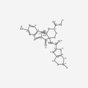 COC(=O)C1CCC(NC(=O)c2nc3c(s2)CN(C)CC3)(C(=O)c2cc3cc(Cl)ccc3[nH]2)C(N)C1